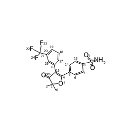 CC1(C)OC(c2ccc(S(N)(=O)=O)cc2)=C(c2cccc(C(F)(F)F)c2)C1=O